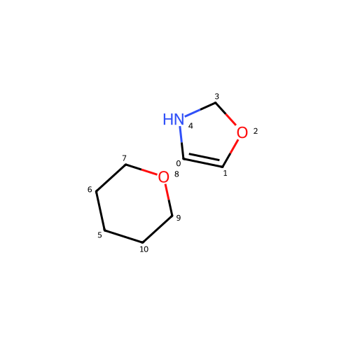 C1=COCN1.C1CCOCC1